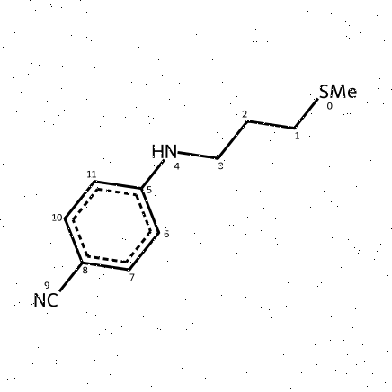 CSCCCNc1ccc(C#N)cc1